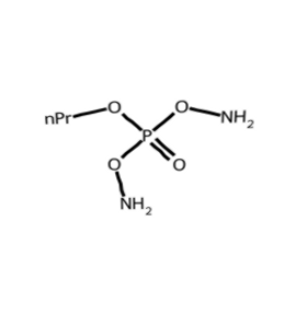 CCCOP(=O)(ON)ON